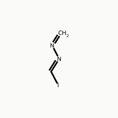 C=N/N=C/I